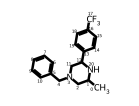 CC1CN(Cc2ccccc2)CC(c2ccc(C(F)(F)F)cc2)N1